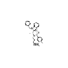 Cc1ccc(C(=O)N(CCCN)[C@H](C)c2nc3ccccc3n2Cc2ccccc2)cc1